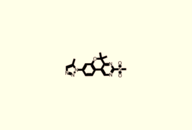 Cc1cnnn1-c1ccc2c(c1)OC(C)(C)c1nc(S(C)(=O)=O)ncc1-2